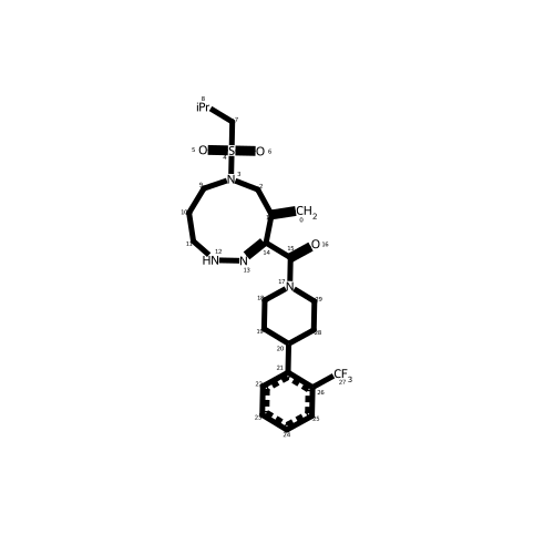 C=C1CN(S(=O)(=O)CC(C)C)CCCN/N=C\1C(=O)N1CCC(c2ccccc2C(F)(F)F)CC1